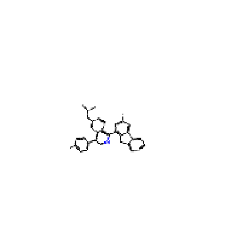 Cc1ccc(-c2cnc(-c3cc(C)cc4c3Cc3ccccc3-4)c3ccc(CC(C)C)cc23)cc1